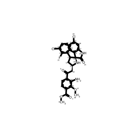 COC(=O)c1ccc(C(=O)C[C@H]2CC(c3cccc(Cl)c3F)[C@@]3(N2)C(=O)Nc2cc(Cl)ccc23)c(N)c1OC